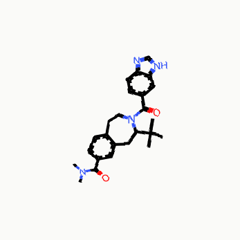 CN(C)C(=O)c1ccc2c(c1)CC(C(C)(C)C)N(C(=O)c1ccc3nc[nH]c3c1)CC2